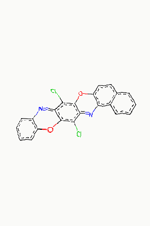 Clc1c2c(c(Cl)c3c1=Nc1ccccc1O3)=Nc1c(ccc3ccccc13)O2